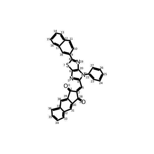 O=C1C(=Cc2nc3sc(-c4ccc5ccccc5c4)nc3n2-c2ccccc2)C(=O)c2cc3ccccc3cc21